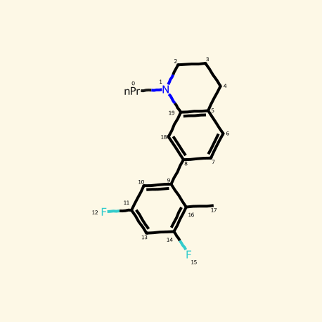 CCCN1CCCc2ccc(-c3cc(F)cc(F)c3C)cc21